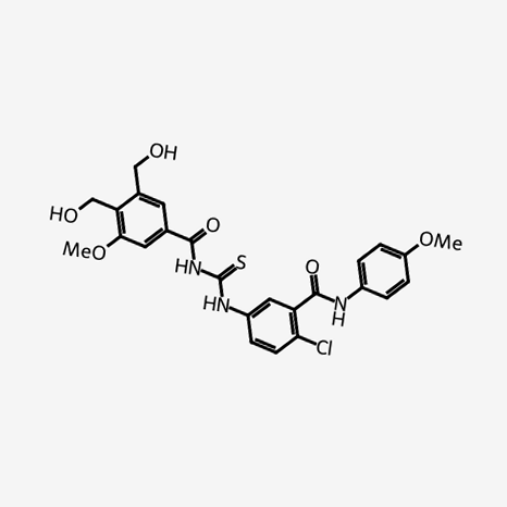 COc1ccc(NC(=O)c2cc(NC(=S)NC(=O)c3cc(CO)c(CO)c(OC)c3)ccc2Cl)cc1